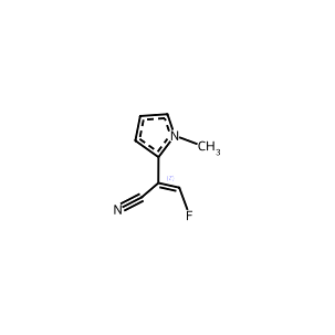 Cn1cccc1/C(C#N)=C/F